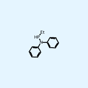 CCPN(c1ccccc1)c1ccccc1